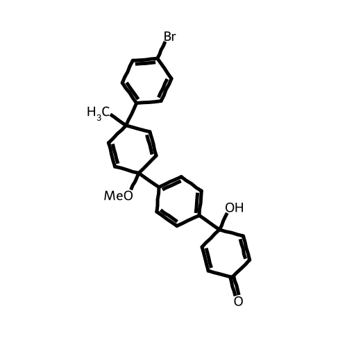 COC1(c2ccc(C3(O)C=CC(=O)C=C3)cc2)C=CC(C)(c2ccc(Br)cc2)C=C1